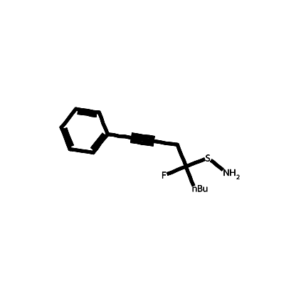 CCCCC(F)(CC#Cc1ccccc1)SN